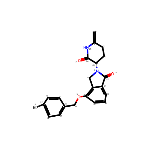 C=C1CC[C@H](N2Cc3c(OCc4ccc(CC)cc4)cccc3C2=O)C(=O)N1